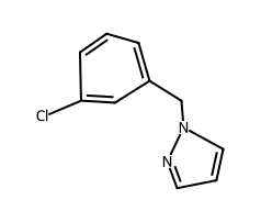 Clc1cccc(Cn2cccn2)c1